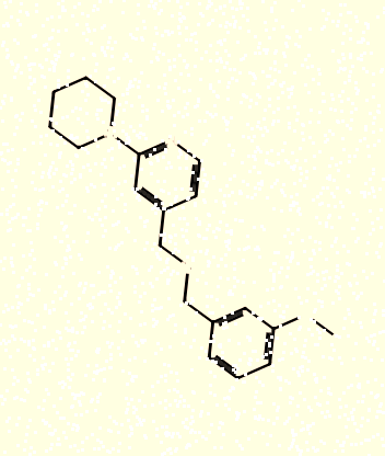 COc1cccc(CNCc2ccnc(N3CCCCC3)c2)c1